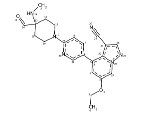 CCOc1cc(-c2ccc(N3CCC(C=O)(NC)CC3)nc2)c2c(C#N)cnn2c1